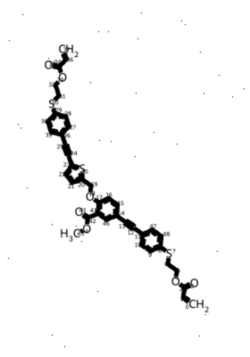 C=CC(=O)OCCSc1ccc(C#Cc2ccc(OCc3ccc(C#Cc4ccc(SCCOC(=O)C=C)cc4)s3)c(C(=O)OC)c2)cc1